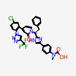 CN(C(=O)O)c1ccc(-c2c[nH]c([C@H](Cc3ccccc3)n3ccc(-c4cc(Cl)ccc4-n4cc(C(F)(F)F)nn4)cc3=O)n2)cc1